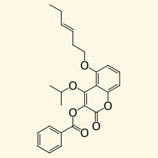 CC/C=C/CCOc1cccc2oc(=O)c(OC(=O)c3ccccc3)c(OC(C)C)c12